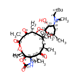 CC[C@H]1OC(=O)[C@H](C)C(=O)[C@H](C)[C@@H](O[C@@H]2O[C@H](C)C[C@H](N(C)CC(C)(C)C)[C@H]2O)[C@](C)(OC)C[C@@H](C)C(=O)[C@H](C)[C@H]2NC(=O)O[C@@]21C